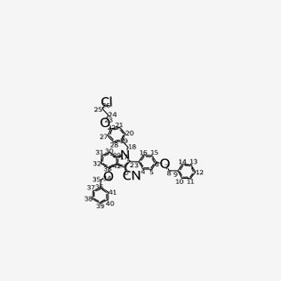 N#Cc1c(-c2ccc(OCc3ccccc3)cc2)n(Cc2ccc(OCCCl)cc2)c2cccc(OCc3ccccc3)c12